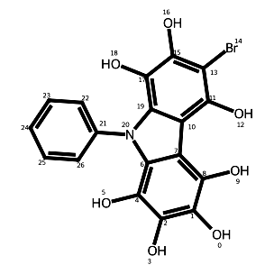 Oc1c(O)c(O)c2c(c1O)c1c(O)c(Br)c(O)c(O)c1n2-c1ccccc1